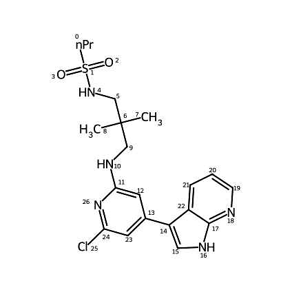 CCCS(=O)(=O)NCC(C)(C)CNc1cc(-c2c[nH]c3ncccc23)cc(Cl)n1